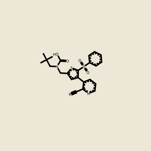 CC(C)(C)CN(Cc1cc(-c2cccnc2C#N)c(S(=O)(=O)c2ccccc2)s1)C(=O)O